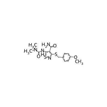 COc1ccc(CSc2nsc(NC(=O)N(C)C)c2C(N)=O)cc1